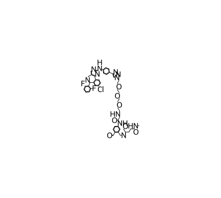 CNC(=O)CCC(C=O)N(C)Cc1cc(NC(=O)CNCCOCCOCCOCCn2cc(-c3ccc(Nc4ncc5c(n4)-c4ccc(Cl)cc4C(c4c(F)cccc4F)=NC5)cc3)nn2)ccc1C=O